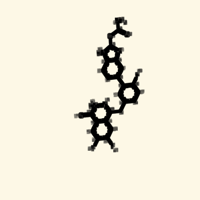 NC(=O)Oc1nc2cc(-c3cc(Cc4n[nH]c(=O)c5cc(F)c(F)cc45)ccc3F)ccc2[nH]1